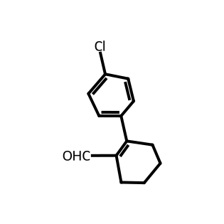 O=CC1=C(c2ccc(Cl)cc2)CCCC1